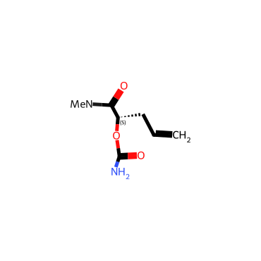 C=CC[C@H](OC(N)=O)C(=O)NC